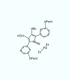 CCCCCCCCC1=C(c2cccc(CCCCC)c2)[N+](=[N-])C(c2cccc(CCCCC)c2)=C1CCCC.C[CH2][Pd][CH2]C